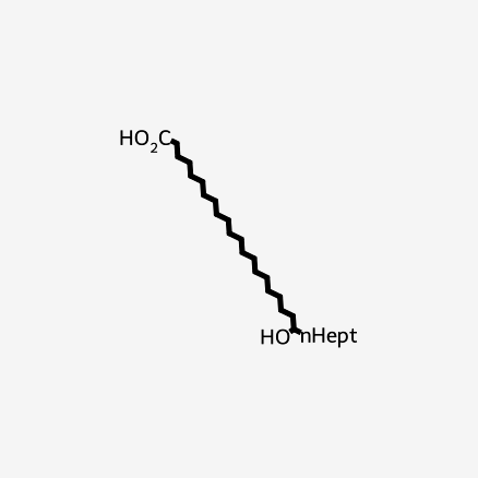 CCCCCCCC(O)CCCCCCCCCCCCCCCCCCCC(=O)O